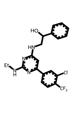 CCNc1nc(NCC(O)c2ccccc2)cc(-c2ccc(C(F)(F)F)c(Cl)c2)n1